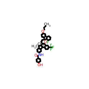 CCCCOc1ccc(C2(c3ccccc3F)C=Cc3c4c(c5ccc(C(F)(F)F)cc5c3O2)-c2cc(NC(=O)c3ccc(O)cc3)ccc2C4(C)C)cc1